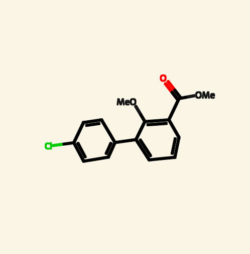 COC(=O)c1cccc(-c2ccc(Cl)cc2)c1OC